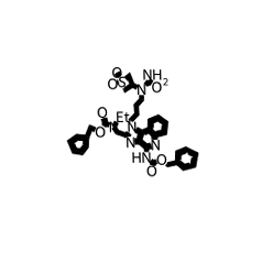 CCN(Cc1nc2c(NC(=O)OCc3ccccc3)nc3ccccc3c2n1CCCCN(C(N)=O)C1CS(=O)(=O)C1)C(=O)OCc1ccccc1